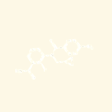 NC(=O)c1cccc(N(CC2CC2)C(=O)c2ccc(C(F)(F)F)cc2)c1F